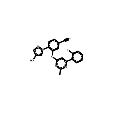 Cc1nc(Oc2cc(C#N)ccc2-n2cc(O)cn2)cc(-c2ccccc2F)n1